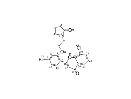 O=C1CCCN1CCOc1cc(Br)ccc1-c1cc(=O)c2cccc(Cl)c2o1